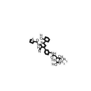 CC(C)(C)C(CC(=O)Nc1cccc(-c2cc(-c3ccccc3O)nc(NC(=O)c3cccs3)c2C#N)c1)NC(=O)O